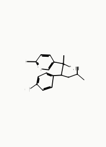 CC(C)CC(c1ccc(Cl)cc1)C(C)(N)c1ccc(Cl)nc1